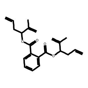 C=CCC(OC(=O)c1ccccc1C(=O)OC(CC=C)C(=C)C)C(=C)C